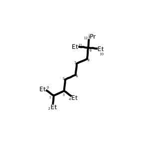 CCC(CC)C(CC)CCCCC(CC)(CC)C(C)C